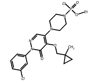 CCOP(=O)(Cl)N1CCN(c2cnn(-c3cccc(Cl)c3)c(=O)c2OCC2(C)CC2)CC1